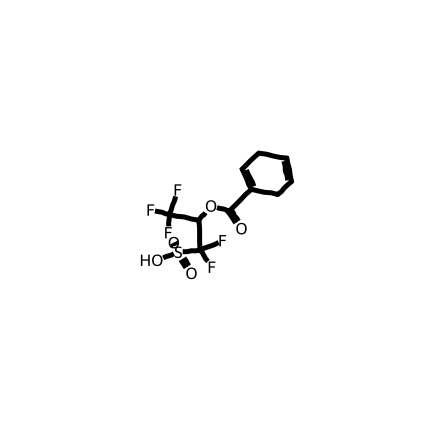 O=C(OC(C(F)(F)F)C(F)(F)S(=O)(=O)O)C1=CCC=CC1